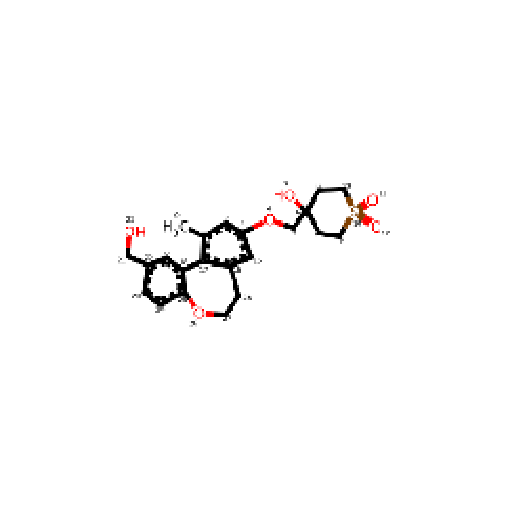 Cc1cc(OCC2(O)CCS(=O)(=O)CC2)cc2c1-c1cc(CO)ccc1OCC2